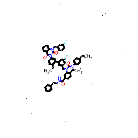 CCc1ccc(N2C(=O)N(Cc3cc(F)cc(-c4cc(-n5c(=O)c6ccccc6n(Cc6cccc(F)c6)c5=O)ccc4CC)c3)c3cc(C(=O)NCCc4ccccc4)ccc3C2C)cc1